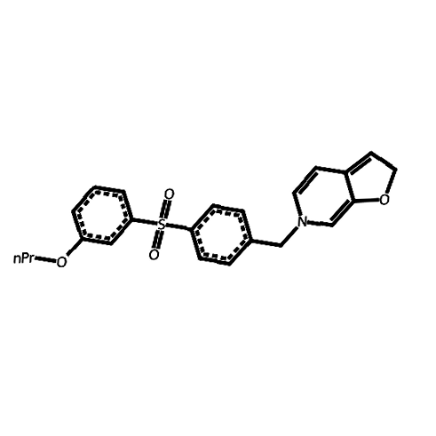 CCCOc1cccc(S(=O)(=O)c2ccc(CN3C=CC4=CCOC4=C3)cc2)c1